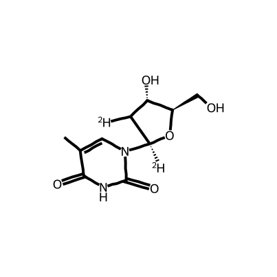 [2H]C1[C@H](O)[C@@H](CO)O[C@@]1([2H])n1cc(C)c(=O)[nH]c1=O